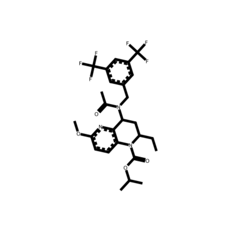 CCC1CC(N(Cc2cc(C(F)(F)F)cc(C(F)(F)F)c2)C(C)=O)c2nc(OC)ccc2N1C(=O)OC(C)C